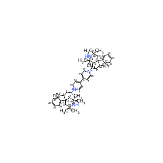 CCCC(CC[n+]1ccc(-c2cc[n+](CCC(CCC)C3(c4ccccc4)CC(C)(C)NC(C)(C)C3)cc2)cc1)C1(c2ccccc2)CC(C)(C)NC(C)(C)C1